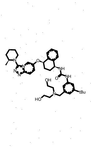 C[C@H]1CCCCN1c1nnc2ccc(O[C@@H]3CC[C@H](NC(=O)Nc4cc(CN(CCO)CCO)cc(C(C)(C)C)c4)c4ccccc43)cn12